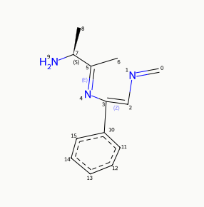 C=N/C=C(\N=C(/C)[C@H](C)N)c1ccccc1